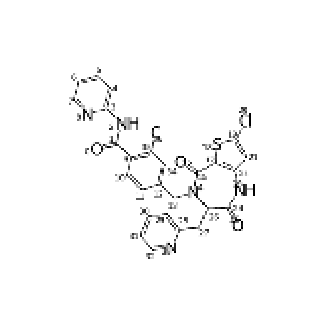 O=C(Nc1ccccn1)c1ccc(CN2C(=O)c3sc(Cl)cc3NC(=O)C2Cc2ccccn2)cc1Cl